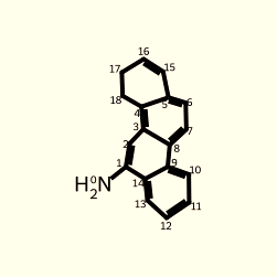 Nc1cc2c3c(ccc2c2ccccc12)C=CCC3